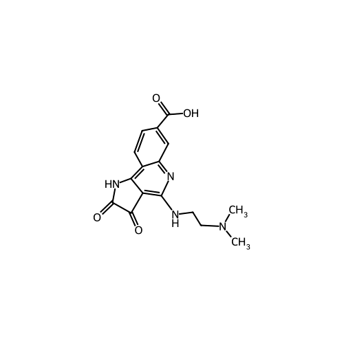 CN(C)CCNc1nc2cc(C(=O)O)ccc2c2c1C(=O)C(=O)N2